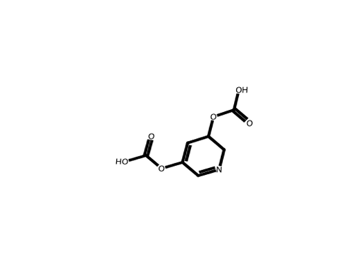 O=C(O)OC1=CC(OC(=O)O)CN=C1